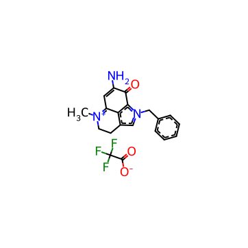 C[N+]1=C2C=C(N)C(=O)c3c2c(cn3Cc2ccccc2)CC1.O=C([O-])C(F)(F)F